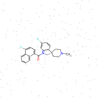 CN1CCC(CNC(=O)c2ccc(F)c3ccccc23)(c2ccc(F)cc2)CC1